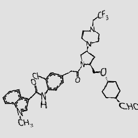 Cn1cc(C(=O)Nc2ccc(CC(=O)N3C[C@@H](N4CCN(CC(F)(F)F)CC4)C[C@H]3CO[C@H]3CC[C@H](C=O)CC3)cc2Cl)c2ccccc21